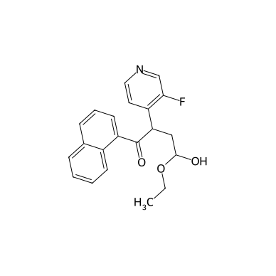 CCOC(O)CC(C(=O)c1cccc2ccccc12)c1ccncc1F